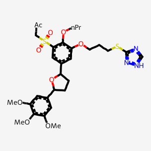 CCCOc1c(OCCCSc2nc[nH]n2)cc(C2CCC(c3cc(OC)c(OC)c(OC)c3)O2)cc1S(=O)(=O)CC(C)=O